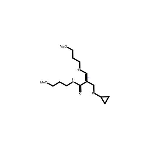 COCCCN/C=C(/CNC1CC1)C(=O)NCCCOC